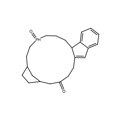 O=C1CCC2=Cc3ccccc3C2CCC[PH](=O)CCC2CCC(C1)C2